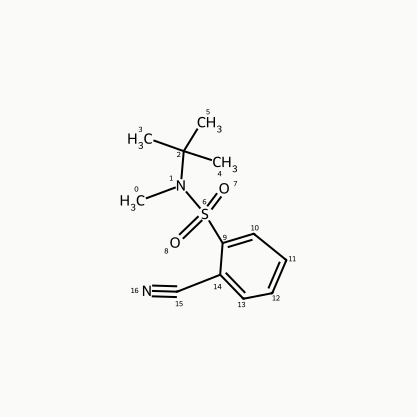 CN(C(C)(C)C)S(=O)(=O)c1ccccc1C#N